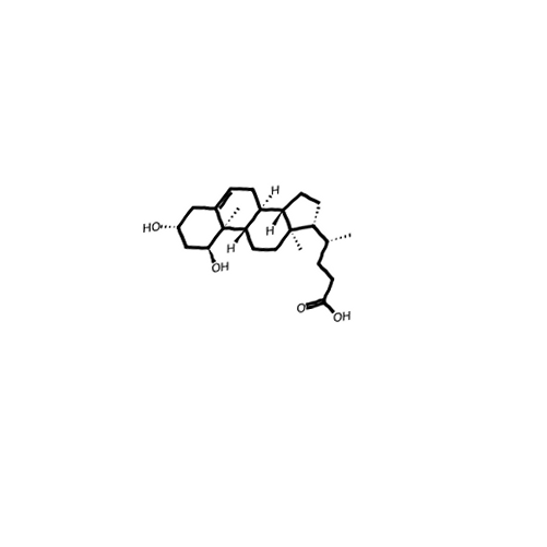 C[C@H](CCC(=O)O)[C@H]1CC[C@H]2[C@@H]3CC=C4C[C@@H](O)C[C@H](O)[C@]4(C)[C@H]3CC[C@]12C